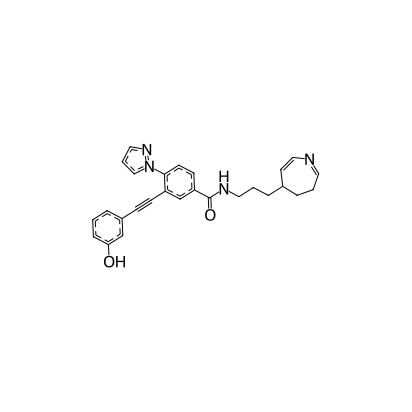 O=C(NCCCC1C=CN=CCC1)c1ccc(-n2cccn2)c(C#Cc2cccc(O)c2)c1